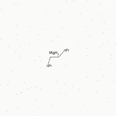 C[CH]CCCCCC.[MgH2]